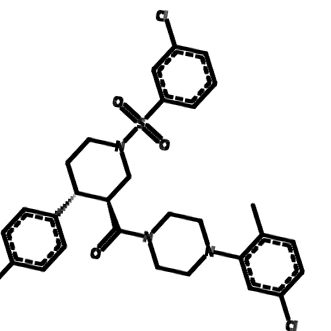 Cc1ccc(Cl)cc1N1CCN(C(=O)[C@@H]2CN(S(=O)(=O)c3cccc(Cl)c3)CC[C@H]2c2ccc(F)cc2)CC1